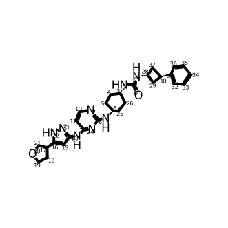 O=C(N[C@H]1CC[C@H](Nc2nccc(Nc3cc(C4CCOC4)[nH]n3)n2)CC1)N[C@H]1C[C@H](c2ccccc2)C1